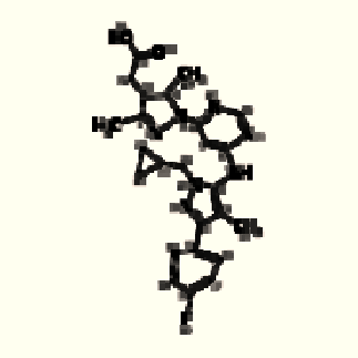 Cc1nn(-c2cc(Nc3c(C)c(-c4ccc(F)cc4)nn3CC3CC3)ncn2)c(C)c1CC(=O)O